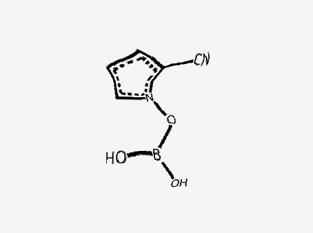 N#Cc1cccn1OB(O)O